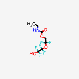 CCNC(=O)OCC(F)(F)OC(F)(F)C(O)(F)F